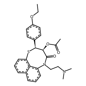 CCOc1ccc([C@@H]2Sc3cccc4cccc(c34)N(CCN(C)C)C(=O)[C@@H]2OC(C)=O)cc1